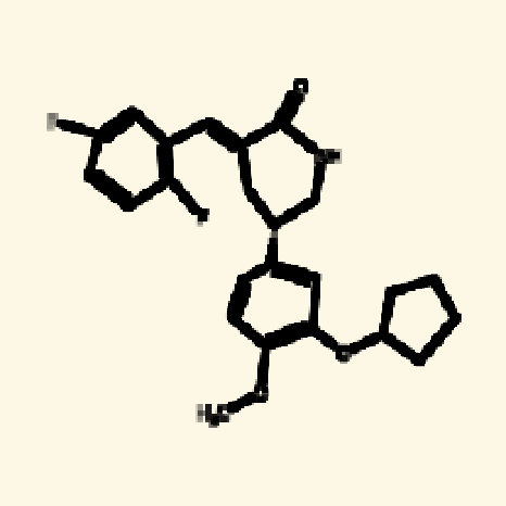 COc1ccc([C@H]2CNC(=O)C(=Cc3cc(F)ccc3F)C2)cc1OC1CCCC1